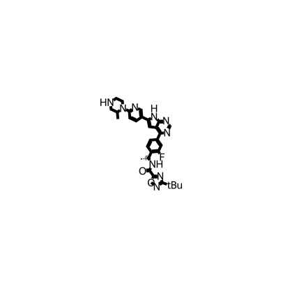 CC1CNCCN1c1ccc(-c2cc3c(-c4ccc([C@@H](C)NC(=O)c5nc(C(C)(C)C)no5)c(F)c4)ncnc3[nH]2)cn1